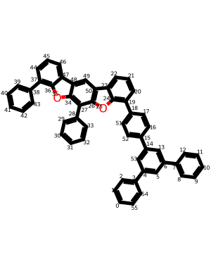 c1ccc(-c2cc(-c3ccccc3)cc(-c3ccc(-c4cccc5c4oc4c(-c6ccccc6)c6oc7c(-c8ccccc8)cccc7c6cc45)cc3)c2)cc1